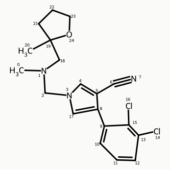 CN(Cn1cc(C#N)c(-c2cccc(Cl)c2Cl)c1)CC1(C)CCCO1